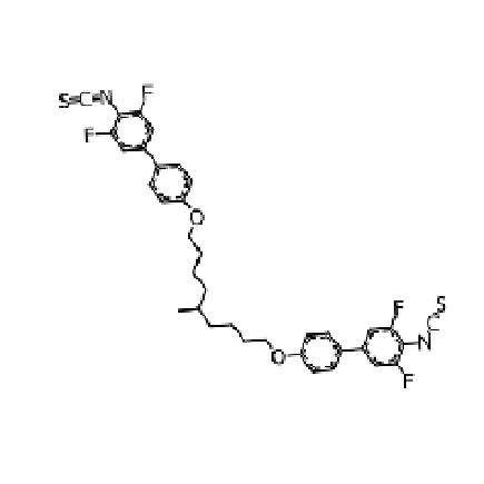 CC(CCCCOc1ccc(-c2cc(F)c(N=C=S)c(F)c2)cc1)CCCCOc1ccc(-c2cc(F)c(N=C=S)c(F)c2)cc1